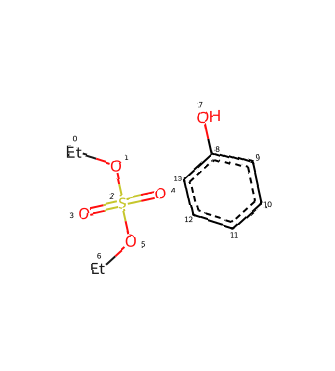 CCOS(=O)(=O)OCC.Oc1ccccc1